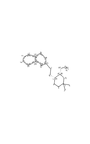 CC1(C)CC[C@H](CCc2ccc3ccccc3c2)[C@H](CO)C1